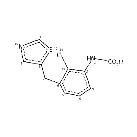 O=C(O)Nc1cccc(Cc2cncs2)c1Cl